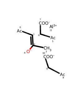 CC(=O)/C=C(/C)[O-].CC(=O)CC(=O)[O-].CC(=O)CC(=O)[O-].[Al+3]